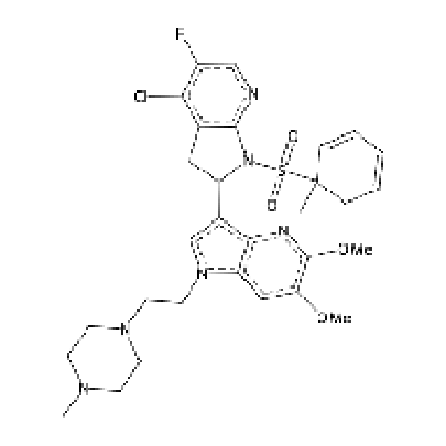 COc1cc2c(nc1OC)c(C1Cc3c(ncc(F)c3Cl)N1S(=O)(=O)C1(C)C=CC=CC1)cn2CCN1CCN(C)CC1